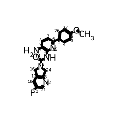 COc1ccc(-c2ccc(N)c(NC(=O)N3Cc4cc(F)cnc4C3)n2)cc1